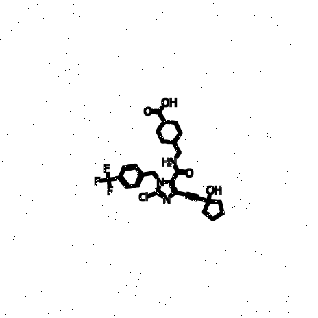 O=C(NCC1CCC(C(=O)O)CC1)c1c(C#CC2(O)CCCC2)nc(Cl)n1Cc1ccc(C(F)(F)F)cc1